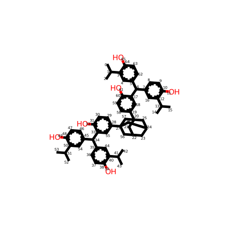 CC(C)c1cc(C(c2ccc(O)c(C(C)C)c2)c2cc(C34CC5CC(C3)CC(c3ccc(O)c(C(c6ccc(O)c(C(C)C)c6)c6ccc(O)c(C(C)C)c6)c3)(C5)C4)ccc2O)ccc1O